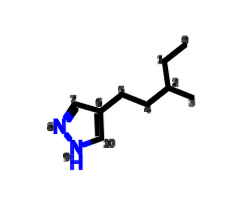 CCC(C)CCc1cn[nH]c1